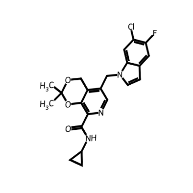 CC1(C)OCc2c(Cn3ccc4cc(F)c(Cl)cc43)cnc(C(=O)NC3CC3)c2O1